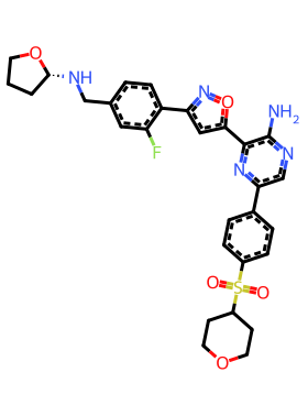 Nc1ncc(-c2ccc(S(=O)(=O)C3CCOCC3)cc2)nc1-c1cc(-c2ccc(CN[C@@H]3CCCO3)cc2F)no1